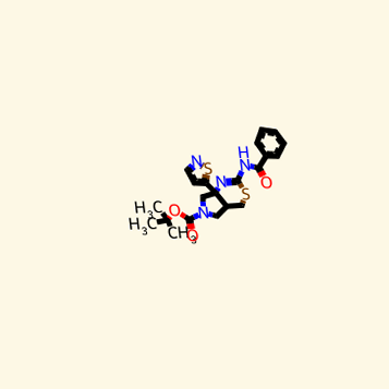 CC(C)(C)OC(=O)N1CC2CSC(NC(=O)c3ccccc3)=NC2(c2ccns2)C1